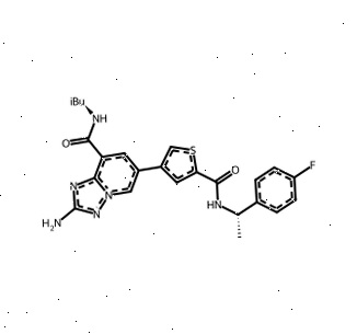 CC[C@H](C)NC(=O)c1cc(-c2csc(C(=O)N[C@@H](C)c3ccc(F)cc3)c2)cn2nc(N)nc12